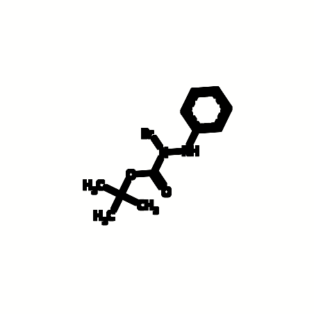 CC(C)(C)OC(=O)N(Br)Nc1ccccc1